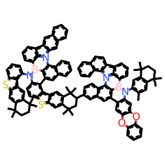 Cc1cc2c(cc1N1B3c4c(cc5cc(C6CC(C)(C)c7cc8sc9ccc%10c(c9c8cc7C6(C)C)-c6cc7ccccc7c7c6B(c6cccc8c9cc%11ccccc%11cc9n-7c68)N%10c6cccc7sc8cc9c(cc8c67)C(C)(C)CCC9(C)C)ccc5c4-n4c5c3cccc5c3ccc5ccccc5c34)-c3cc4c(cc31)Oc1ccccc1O4)C(C)(C)CCC2(C)C